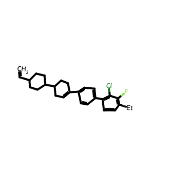 C=CC1CCC(C2CC=C(c3ccc(-c4ccc(CC)c(F)c4Cl)cc3)CC2)CC1